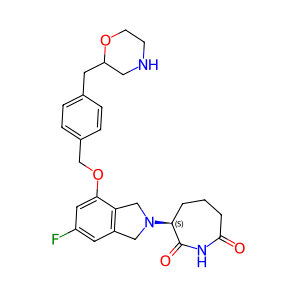 O=C1CCC[C@H](N2Cc3cc(F)cc(OCc4ccc(CC5CNCCO5)cc4)c3C2)C(=O)N1